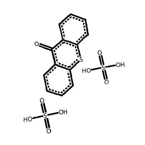 O=S(=O)(O)O.O=S(=O)(O)O.O=c1c2ccccc2sc2ccccc12